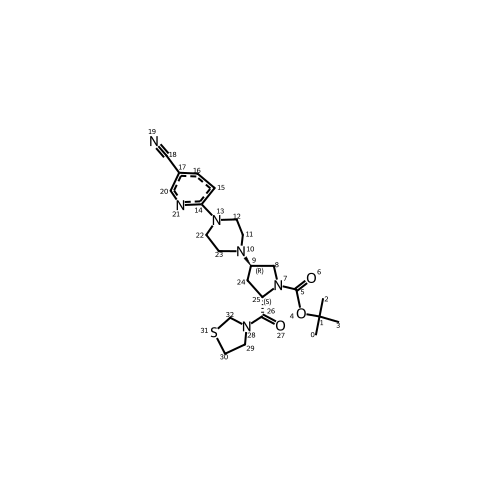 CC(C)(C)OC(=O)N1C[C@H](N2CCN(c3ccc(C#N)cn3)CC2)C[C@H]1C(=O)N1CCSC1